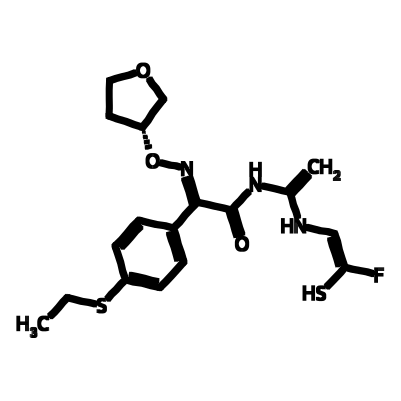 C=C(N/C=C(/F)S)NC(=O)/C(=N/O[C@@H]1CCOC1)c1ccc(SCC)cc1